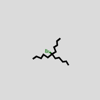 CCCCCC(Br)(CCCCC)CCCCC